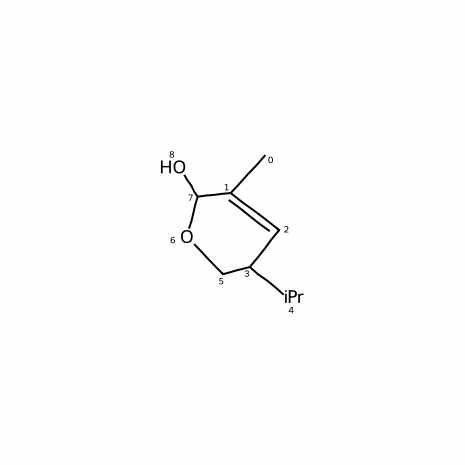 CC1=CC(C(C)C)COC1O